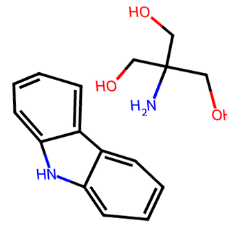 NC(CO)(CO)CO.c1ccc2c(c1)[nH]c1ccccc12